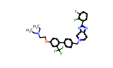 CCN(CC)CCOc1ccc(-c2ccc(Cn3ccc4nc(-c5cccc(F)c5F)nc-4c3)cc2)c(C(F)(F)F)c1